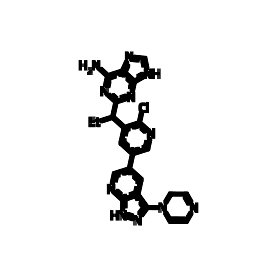 CCC(c1nc(N)c2nc[nH]c2n1)c1cc(-c2cnc3[nH]nc(N4C=CN=CC4)c3c2)cnc1Cl